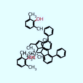 CCC1=Cc2c(-c3ccccc3)cccc2[CH]1[Zr]([CH3])([CH3])(=[SiH2])[CH]1C(CC)=Cc2c(-c3ccccc3)cccc21.Cc1cccc(C)c1O.Cc1cccc(C)c1O